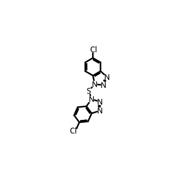 Clc1ccc2c(c1)nnn2Sn1nnc2cc(Cl)ccc21